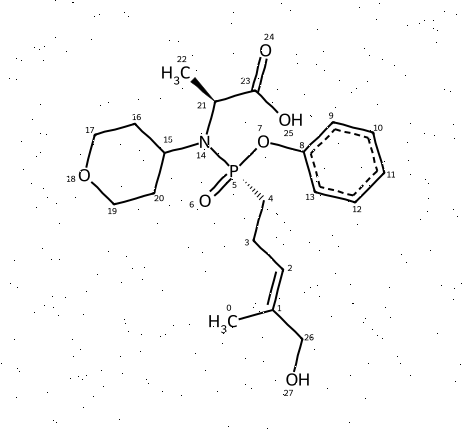 C/C(=C\CC[P@@](=O)(Oc1ccccc1)N(C1CCOCC1)[C@@H](C)C(=O)O)CO